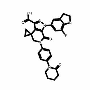 O=C(O)c1nn(-c2cc(F)c3c(c2)CCO3)c2c1C1(CC1)CN(c1ccc(N3CCCCC3=O)cc1)C2=O